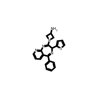 NC1CN(C2=Nc3ncccc3C(c3ccccc3)=NC2c2cccs2)C1